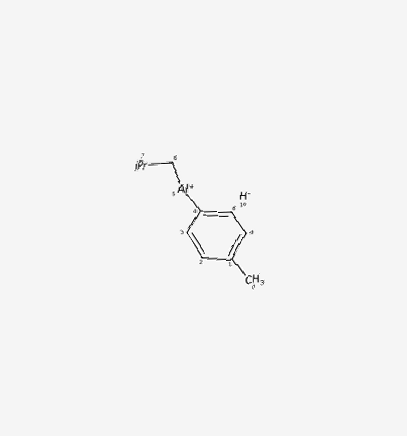 Cc1cc[c]([Al+][CH2]C(C)C)cc1.[H-]